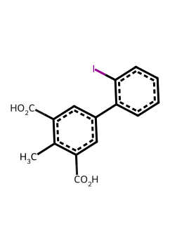 Cc1c(C(=O)O)cc(-c2ccccc2I)cc1C(=O)O